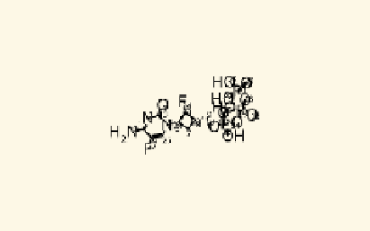 Nc1nc(=O)n([C@H]2C[C@@H](COP(=O)(O)OP(=O)(O)OP(=O)(O)O)[C@@H]2F)cc1F